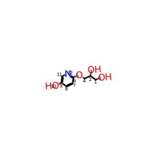 OCC(O)COc1ccc(O)cn1